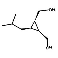 CC(C)C[C@@H]1[C@H](CO)[C@@H]1CO